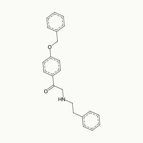 O=C(CNCCc1ccccc1)c1ccc(OCc2ccccc2)cc1